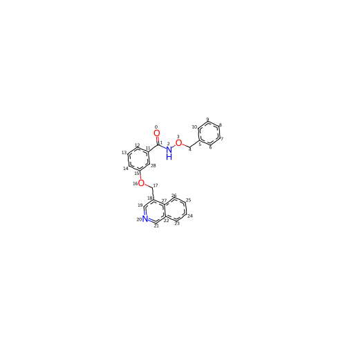 O=C(NOCc1ccccc1)c1cccc(OCc2cncc3ccccc23)c1